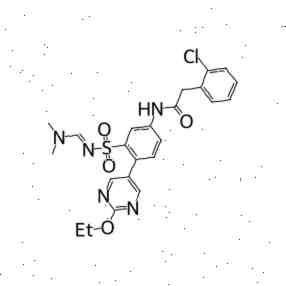 CCOc1ncc(-c2ccc(NC(=O)Cc3ccccc3Cl)cc2S(=O)(=O)N=CN(C)C)cn1